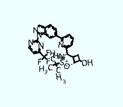 CC(C)(C)[S@@+]([O-])N[C@H](c1cccc(-c2ccc3cnn(-c4nccc(C(F)(F)F)n4)c3c2)n1)C1CC(O)C1